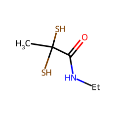 CCNC(=O)C(C)(S)S